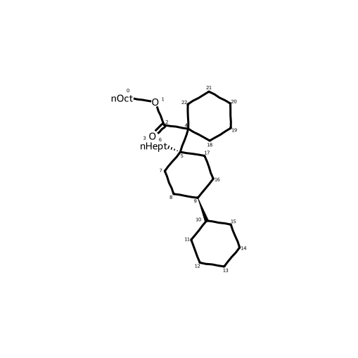 CCCCCCCCOC(=O)C1([C@]2(CCCCCCC)CC[C@H](C3CCCCC3)CC2)CCCCC1